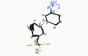 NC1CCC[C@H](c2cccc(C(F)(F)F)c2)C1